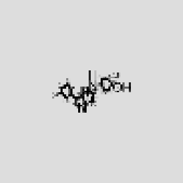 Cc1cccc(-c2cnn3ccc(N[C@H]4CC[C@](C)(O)CC4)nc23)c1